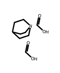 C1CN2CCC1CC2.O=CO.O=CO